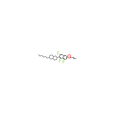 C/C=C/COc1cc(F)c2c(F)c(C3CCC4CC(CCCCCC)CCC4C3)c(F)cc2c1